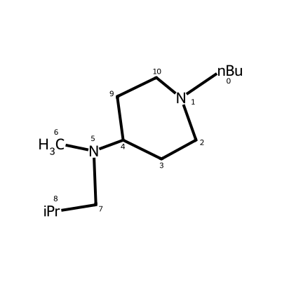 CCCCN1CCC(N(C)CC(C)C)CC1